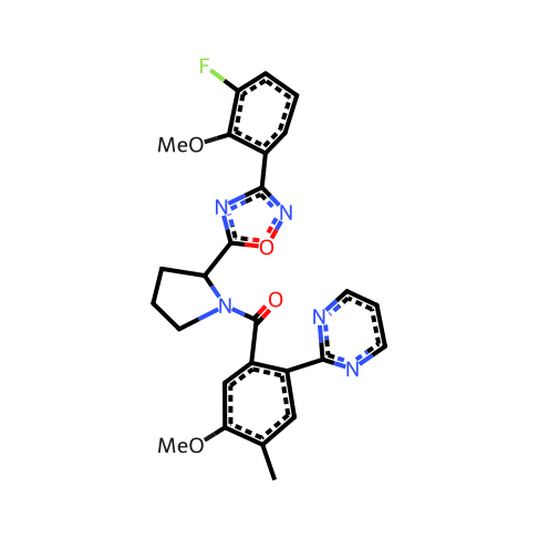 COc1cc(C(=O)N2CCCC2c2nc(-c3cccc(F)c3OC)no2)c(-c2ncccn2)cc1C